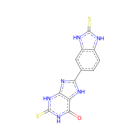 O=c1[nH]c(=S)[nH]c2nc(-c3ccc4[nH]c(=S)[nH]c4c3)[nH]c12